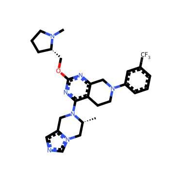 C[C@@H]1Cn2cncc2CN1c1nc(OC[C@@H]2CCCN2C)nc2c1CCN(c1cccc(C(F)(F)F)c1)C2